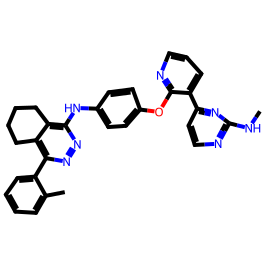 CNc1nccc(-c2cccnc2Oc2ccc(Nc3nnc(-c4ccccc4C)c4c3CCCC4)cc2)n1